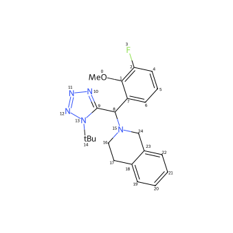 COc1c(F)cccc1C(c1nnnn1C(C)(C)C)N1CCc2ccccc2C1